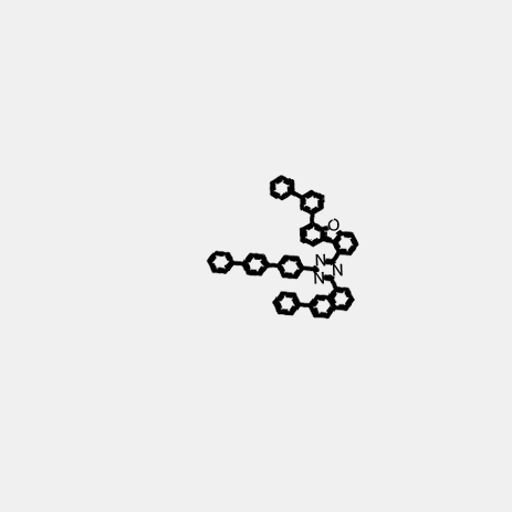 c1ccc(-c2ccc(-c3ccc(-c4nc(-c5cccc6ccc(-c7ccccc7)cc56)nc(-c5cccc6oc7c(-c8cccc(-c9ccccc9)c8)cccc7c56)n4)cc3)cc2)cc1